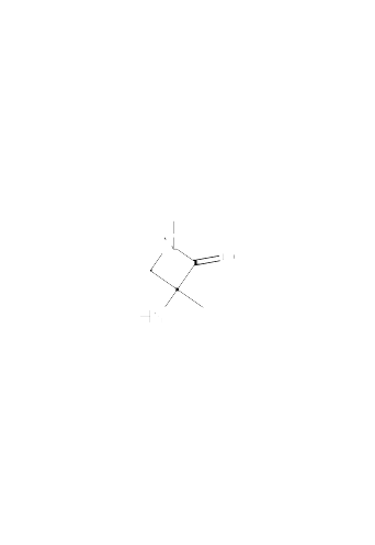 CC1(S)CNC1=O